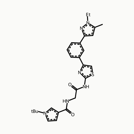 CCn1nc(-c2cccc(-c3csc(NC(=O)CNC(=O)c4ccn(C(C)(C)C)c4)n3)c2)cc1C